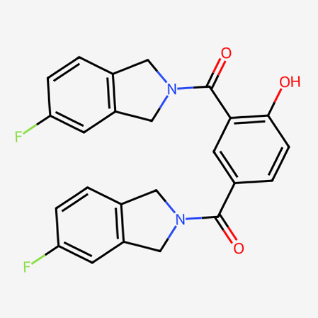 O=C(c1ccc(O)c(C(=O)N2Cc3ccc(F)cc3C2)c1)N1Cc2ccc(F)cc2C1